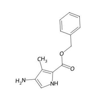 Cc1c(N)c[nH]c1C(=O)OCc1ccccc1